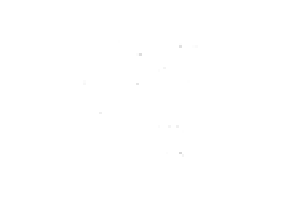 CCc1cc(CC(O)c2ccc(OC)c(OC3CCCC3)c2)ccn1.c1cc2cc-2c1